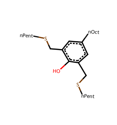 CCCCCCCCc1cc(CSCCCCC)c(O)c(CSCCCCC)c1